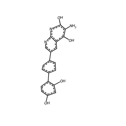 Nc1c(O)nc2ncc(-c3ccc(-c4ccc(O)cc4O)cc3)cc2c1O